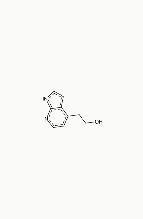 OCCc1[c]cnc2[nH]ccc12